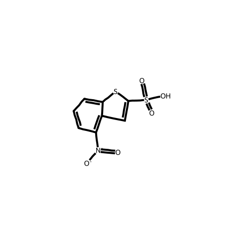 O=[N+]([O-])c1cccc2sc(S(=O)(=O)O)cc12